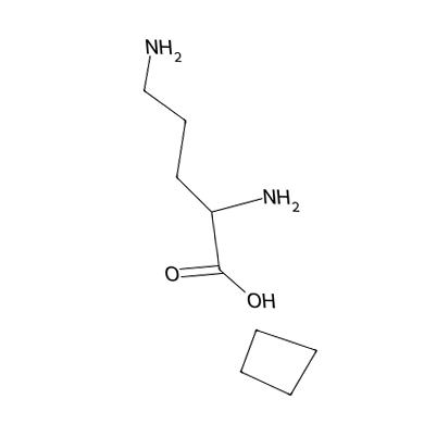 C1CCC1.NCCCC(N)C(=O)O